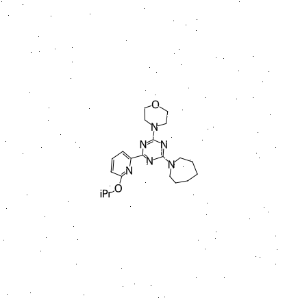 CC(C)Oc1cccc(-c2nc(N3CCCCCC3)nc(N3CCOCC3)n2)n1